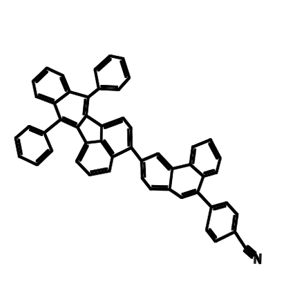 N#Cc1ccc(-c2cc3ccc(-c4ccc5c6c(cccc46)-c4c-5c(-c5ccccc5)c5ccccc5c4-c4ccccc4)cc3c3ccccc23)cc1